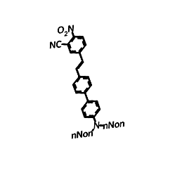 CCCCCCCCCN(CCCCCCCCC)c1ccc(-c2ccc(C=Cc3ccc([N+](=O)[O-])c(C#N)c3)cc2)cc1